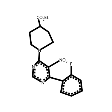 CCOC(=O)C1CCN(c2ncnc(-c3ccccc3F)c2[N+](=O)[O-])CC1